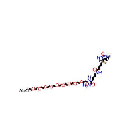 COCCOCCOCCOCCOCCOCCOCCOCCOCCOCCC(=O)N[C@@H](CCCCNC(=O)CCCC[C@@H]1SC[C@@H]2NC(=O)N[C@@H]21)C(N)=O